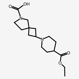 CCOC(=O)C1CCN(C2CC3(CCN(C(=O)O)C3)C2)CC1